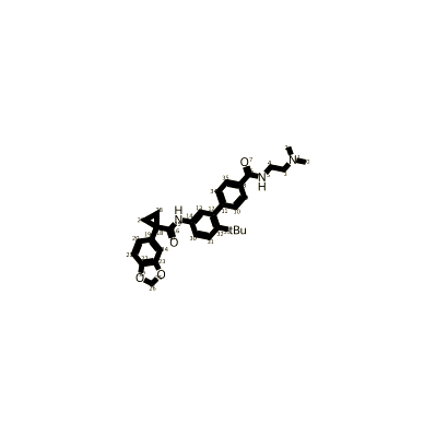 CN(C)CCNC(=O)c1ccc(-c2cc(NC(=O)C3(c4ccc5c(c4)OCO5)CC3)ccc2C(C)(C)C)cc1